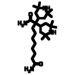 CC1(C)CC(C(CCCCCCCC(N)=O)(C(N)=O)C2CC(C)(C)NC(C)(C)C2)CC(C)(C)N1